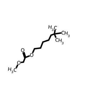 COCC(=O)OCCCCCC(C)(C)C